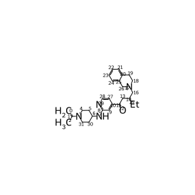 C=C(C)N1CCC(Nc2cc(C(=O)CC(CC)CN3CCc4ccccc4C3)ccn2)CC1